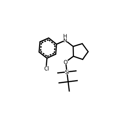 CC(C)(C)[Si](C)(C)OC1CCCC1Nc1cccc(Cl)c1